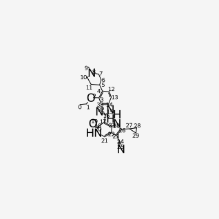 CCOc1c(C2CCN(C)CC2)ccc2[nH]c(-c3c(=O)[nH]cc4c(C#N)c(C5CC5)[nH]c34)nc12